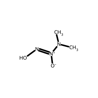 CN(C)[N+]([O-])=NO